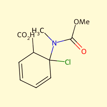 COC(=O)N(C)C1(Cl)C=CC=CC1C(=O)O